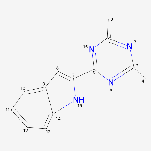 Cc1nc(C)nc(-c2cc3ccccc3[nH]2)n1